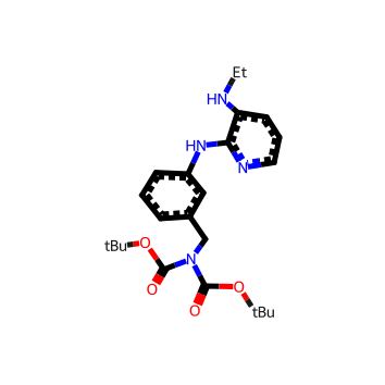 CCNc1cccnc1Nc1cccc(CN(C(=O)OC(C)(C)C)C(=O)OC(C)(C)C)c1